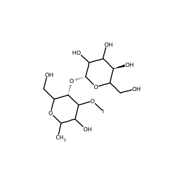 CC1OC(CO)[C@H](O[C@H]2OC(CO)[C@H](O)C(O)C2O)C(OI)C1O